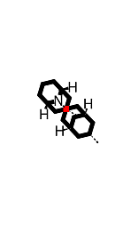 C[C@@H]1C[C@@H]2C[C@H](C1)C[C@@H](N1[C@@H]3CCC[C@H]1C[C@@H](C)C3)C2